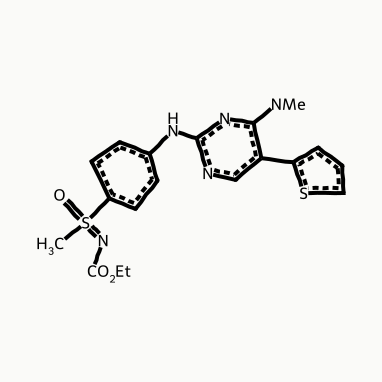 CCOC(=O)N=S(C)(=O)c1ccc(Nc2ncc(-c3cccs3)c(NC)n2)cc1